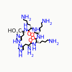 NCCCC[C@H](NC(=O)[C@H](CCCCN)NC(=O)[C@H](CCCCN)NC(=O)[C@@H](N)Cc1c[nH]cn1)C(=O)N[C@@H](Cc1c[nH]cn1)C(=O)O